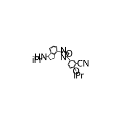 CC(C)NC1CCc2c(-c3noc(-c4ccc(OC(C)C)c(C#N)c4)n3)cccc21